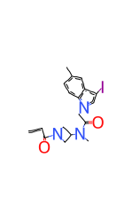 C=CC(=O)N1CC(N(C)C(=O)Cn2cc(I)c3cc(C)ccc32)C1